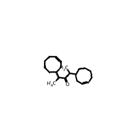 CC(C(=O)C(C)C1CC=CCCCC1)C1CC=CCCCC1